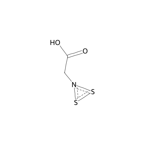 O=C(O)Cn1ss1